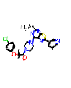 CC(C)(Oc1ccc(Cl)cc1)C(=O)N1CCN(c2nc([AsH2])nc3sc(-c4cccnc4)nc23)CC1